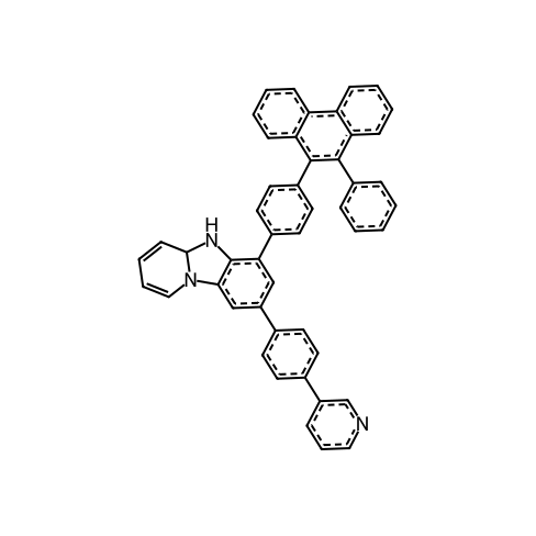 C1=CC2Nc3c(-c4ccc(-c5c(-c6ccccc6)c6ccccc6c6ccccc56)cc4)cc(-c4ccc(-c5cccnc5)cc4)cc3N2C=C1